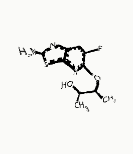 C[C@H](Oc1nc2sc(N)nc2cc1F)[C@@H](C)O